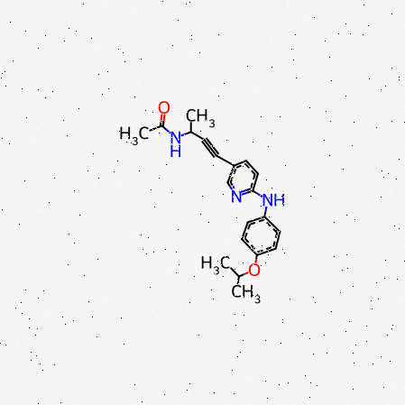 CC(=O)NC(C)C#Cc1ccc(Nc2ccc(OC(C)C)cc2)nc1